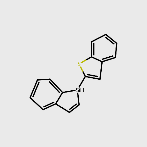 C1=C[SiH](c2cc3ccccc3s2)c2ccccc21